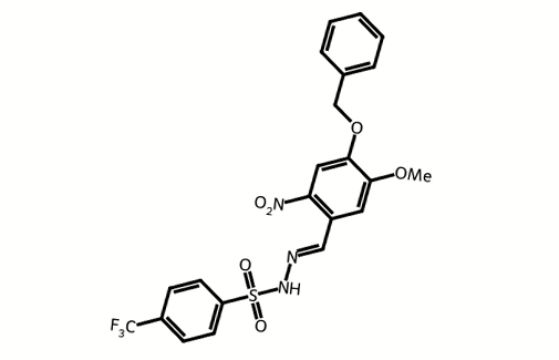 COc1cc(C=NNS(=O)(=O)c2ccc(C(F)(F)F)cc2)c([N+](=O)[O-])cc1OCc1ccccc1